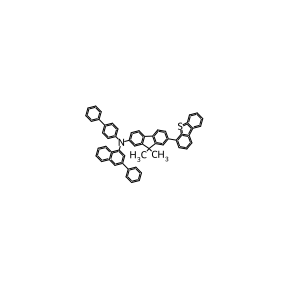 CC1(C)c2cc(-c3cccc4c3sc3ccccc34)ccc2-c2ccc(N(c3ccc(-c4ccccc4)cc3)c3cc(-c4ccccc4)cc4ccccc34)cc21